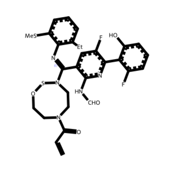 C=CC(=O)N1CCOSN(/C(=N/c2c(CC)cccc2SC)c2cc(F)c(-c3c(O)cccc3F)nc2NC=O)CC1